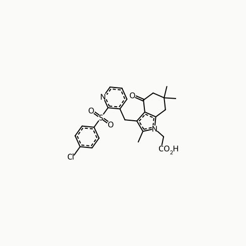 Cc1c(Cc2cccnc2S(=O)(=O)c2ccc(Cl)cc2)c2c(n1CC(=O)O)CC(C)(C)CC2=O